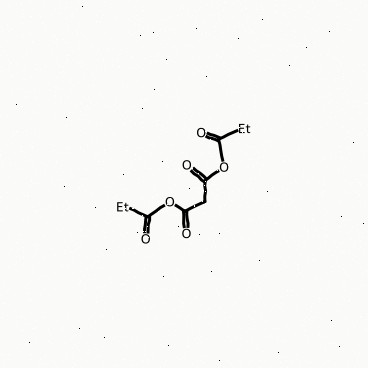 CCC(=O)OC(=O)CC(=O)OC(=O)CC